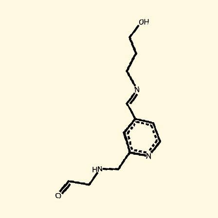 O=CCNCc1cc(/C=N/CCCO)ccn1